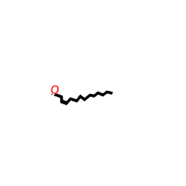 CCCCCCCCCC/C=C\C[C]=O